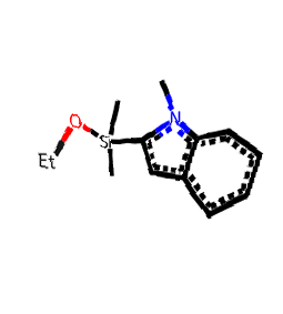 CCO[Si](C)(C)c1cc2ccccc2n1C